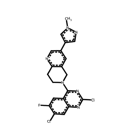 Cn1cc(-c2cnc3c(c2)CN(c2nc(Cl)nc4cc(Cl)c(F)cc24)CC3)cn1